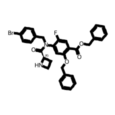 O=C(OCc1ccccc1)c1cc(F)c(N(Cc2ccc(Br)cc2)C(=O)[C@H]2CCN2)cc1OCc1ccccc1